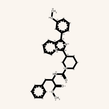 COC(=O)C(Cc1ccccc1)NC(=O)N1CCCC(c2nc(-c3cccc(OC)c3)c3ccccn23)C1